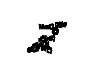 COc1ccc(CCNc2ncnc3c(N4CC[S+]([O-])CC4)nc(Cl)nc23)cc1OC